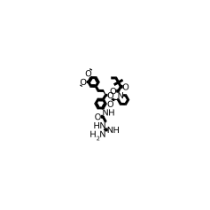 CCC(C)(C)C(=O)C(=O)N1CCCC[C@H]1C(=O)O[C@H](CCc1ccc(OC)c(OC)c1)c1cccc(NC(=O)CNC(=N)N)c1